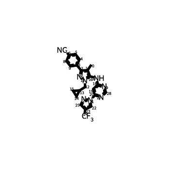 Cc1c(-c2ccc(C#N)cc2)nn(CC2CC2)c1Nc1cc(-n2cc(C(F)(F)F)cn2)ncn1